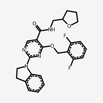 O=C(NCC1CCCO1)c1cnc(N2CCc3ccccc32)nc1OCc1c(F)cccc1F